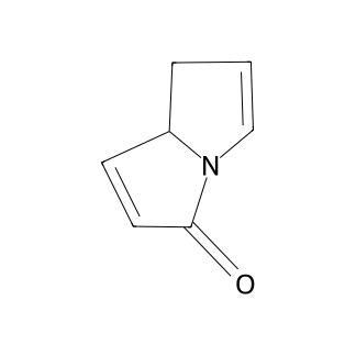 O=C1C=CC2CC=CN12